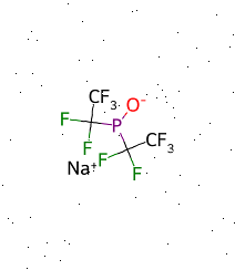 [Na+].[O-]P(C(F)(F)C(F)(F)F)C(F)(F)C(F)(F)F